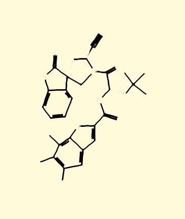 C#C[C@@H]1C[C@@]2(CN1C(=O)[C@H](CC(C)(C)F)NC(=O)c1cc3cc(F)c(F)c(F)c3[nH]1)C(=O)Nc1ccccc12